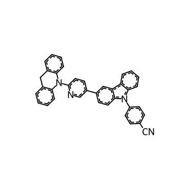 N#Cc1ccc(-n2c3ccccc3c3cc(-c4ccc(N5c6ccccc6Cc6ccccc65)nc4)ccc32)cc1